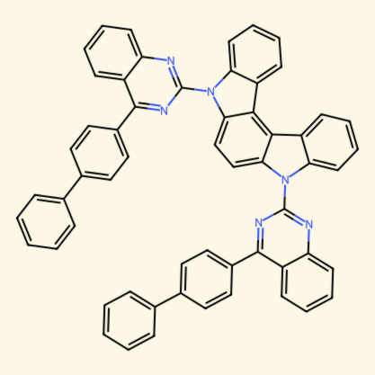 c1ccc(-c2ccc(-c3nc(-n4c5ccccc5c5c6c7ccccc7n(-c7nc(-c8ccc(-c9ccccc9)cc8)c8ccccc8n7)c6ccc54)nc4ccccc34)cc2)cc1